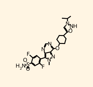 CC(C)N1C=C(C2CCC(Oc3ncnc4c(-c5cc(F)c(S(N)(=O)=O)cc5F)n(C)nc34)CC2)ON1